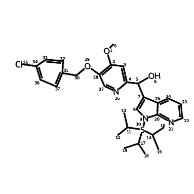 COc1cc(C(O)c2cn(S(C(C)C)(C(C)C)C(C)C)c3ncccc23)ncc1OCc1ccc(Cl)cc1